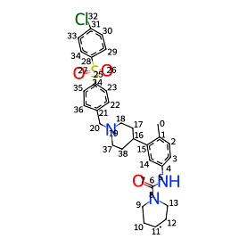 Cc1ccc(NC(=O)N2CC[CH]CC2)cc1C1CCN(Cc2ccc(S(=O)(=O)c3ccc(Cl)cc3)cc2)CC1